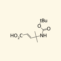 CC(C)(C=CC(=O)O)NC(=O)OC(C)(C)C